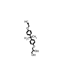 C#CCOc1ccc(C(C)(C)c2ccc(OCC(O)CO)cc2)cc1